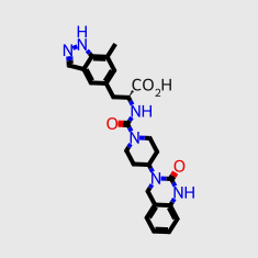 Cc1cc(C[C@@H](NC(=O)N2CCC(N3Cc4ccccc4NC3=O)CC2)C(=O)O)cc2cn[nH]c12